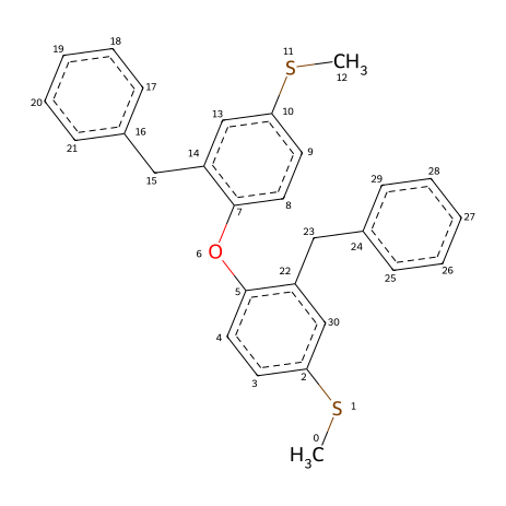 CSc1ccc(Oc2ccc(SC)cc2Cc2ccccc2)c(Cc2ccccc2)c1